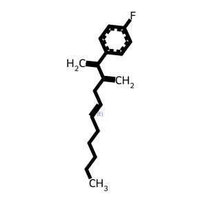 C=C(C/C=C/CCCCC)C(=C)c1ccc(F)cc1